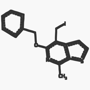 Cc1nc(OCc2ccccc2)c(CI)c2ccsc12